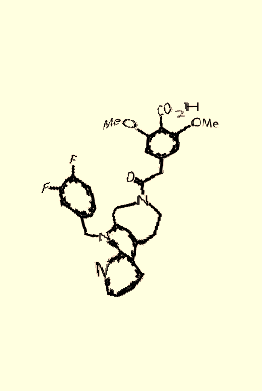 COc1cc(CC(=O)N2CCc3c(n(Cc4ccc(F)c(F)c4)c4ncccc34)C2)cc(OC)c1C(=O)O